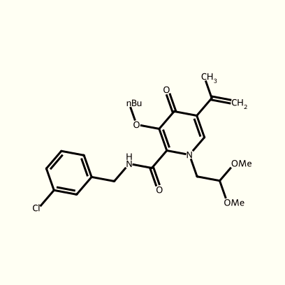 C=C(C)c1cn(CC(OC)OC)c(C(=O)NCc2cccc(Cl)c2)c(OCCCC)c1=O